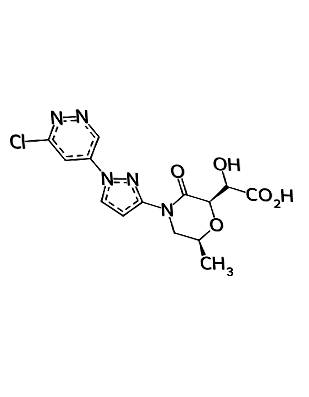 C[C@H]1CN(c2ccn(-c3cnnc(Cl)c3)n2)C(=O)[C@@H](C(O)C(=O)O)O1